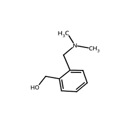 CN(C)Cc1ccccc1CO